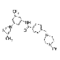 Cc1cn(-c2cc(NC(=O)c3ccc(CN4CCN(C(C)C)CC4)cc3)cc(C(F)(F)F)c2)cn1